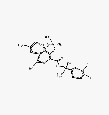 Cc1cnc2c(O[Si](C)(C)C(C)(C)C)c(C(=O)NC(C)(C)c3ccc(F)c(Cl)c3)nc(Br)c2c1